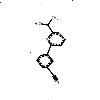 CC(C)c1nccc(-c2cccc(C#N)c2)n1